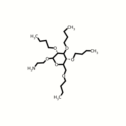 CCCCOCC1OC(OCCN)[C@H](OCCCC)C(OCCCC)[C@@H]1OCCCC